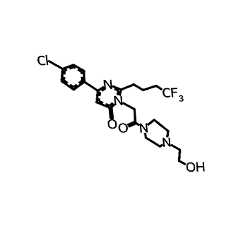 O=C(Cn1c(CCCC(F)(F)F)nc(-c2ccc(Cl)cc2)cc1=O)N1CCN(CCO)CC1